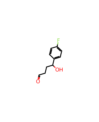 O=CCCC(O)c1ccc(F)cc1